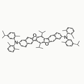 Cc1ccc(C(C)C)cc1N(c1ccc2cc3c(cc2c1)oc1c(C(C)C)c2c(oc4cc5cc(N(c6cc(C(C)C)ccc6C)c6c(C)cccc6C)ccc5cc42)c(C(C)C)c13)c1c(C)cccc1C